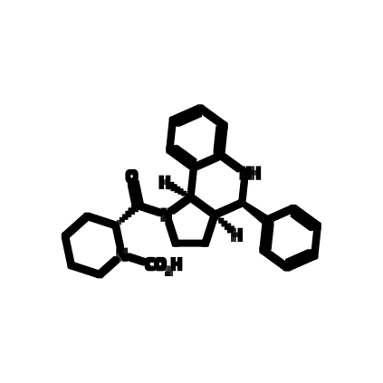 O=C(O)N1CCCC[C@@H]1C(=O)N1CC[C@@H]2[C@H](c3ccccc3)Nc3ccccc3[C@@H]21